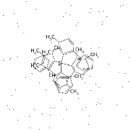 CC1=C(C)C(C)C([Si](c2c(-c3ccccc3)ccc(C)c2C)(c2c(-c3ccccc3)ccc(C)c2C)c2c(-c3ccccc3)ccc(C)c2C)=C1C